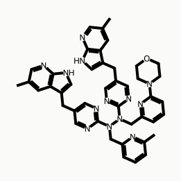 Cc1cnc2[nH]cc(Cc3cnc(N(Cc4cccc(C)n4)N(Cc4cccc(N5CCOCC5)n4)c4ncc(Cc5c[nH]c6ncc(C)cc56)cn4)nc3)c2c1